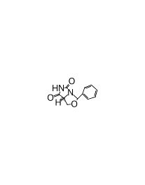 O=C1NC(=O)N2C(c3ccccc3)OC[C@H]12